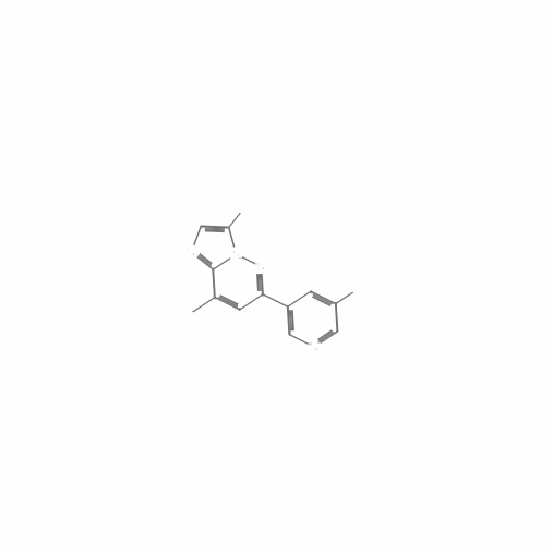 CCOC(=O)c1cnc2c(C)cc(-c3cncc(Cl)c3)nn12